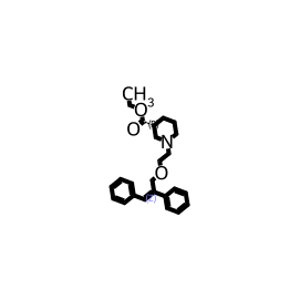 CCOC(=O)[C@@H]1CCCN(CCOC/C(=C\c2ccccc2)c2ccccc2)C1